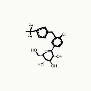 [2H]C([2H])(C)c1ccc(Cc2cc([C@@H]3O[C@H](CO)[C@@H](O)[C@H](O)[C@H]3O)ccc2Cl)cc1